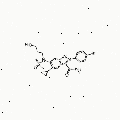 C=S(C)(=O)N(CCCO)c1cc2nn(-c3ccc(Br)cc3)c(C(=O)NC)c2cc1C1CC1